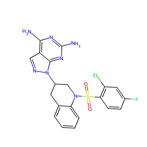 Nc1nc(N)c2cnn(C3Cc4ccccc4N(S(=O)(=O)c4ccc(F)cc4Cl)C3)c2n1